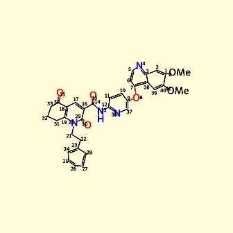 COc1cc2nccc(Oc3ccc(NC(=O)c4cc5c(n(CCc6ccccc6)c4=O)CCCC5=O)nc3)c2cc1OC